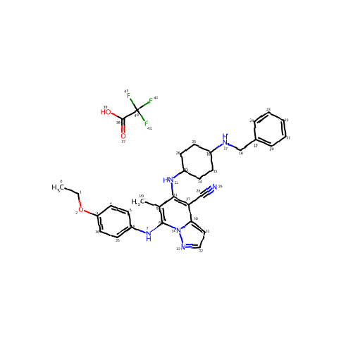 CCOc1ccc(Nc2c(C)c(NC3CCC(NCc4ccccc4)CC3)c(C#N)c3ccnn23)cc1.O=C(O)C(F)(F)F